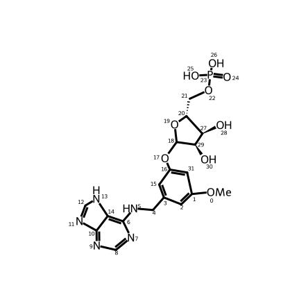 COc1cc(CNc2ncnc3nc[nH]c23)cc(OC2O[C@H](COP(=O)(O)O)[C@@H](O)[C@H]2O)c1